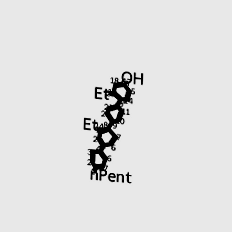 CCCCCc1ccc(-c2ccc(-c3ccc(-c4ccc(O)cc4CC)cc3)c(CC)c2)cc1